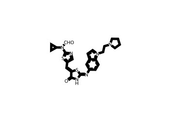 O=CN(c1ncc(/C=C2\SC(=Nc3ccc4c(ccn4CCN4CCCC4)c3)NC2=O)s1)C1CC1